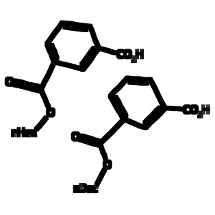 CCCCCCCCCCOC(=O)c1cccc(C(=O)O)c1.CCCCCCOC(=O)c1cccc(C(=O)O)c1